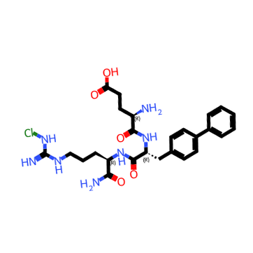 N=C(NCl)NCCC[C@@H](NC(=O)[C@@H](Cc1ccc(-c2ccccc2)cc1)NC(=O)[C@H](N)CCC(=O)O)C(N)=O